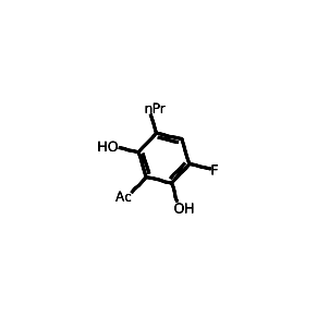 CCCc1cc(F)c(O)c(C(C)=O)c1O